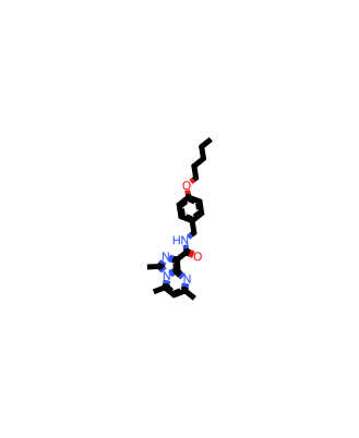 CCCCCOc1ccc(CNC(=O)c2nc(C)n3c(C)cc(C)nc23)cc1